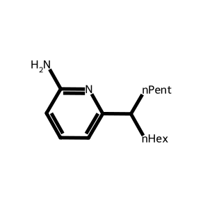 CCCCCCC(CCCCC)c1cccc(N)n1